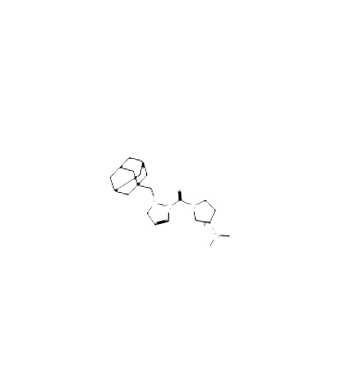 CN(C)[C@@H]1CCN(C(=O)N2C=CCN2CC23CC4CC(CC(C4)C2)C3)C1